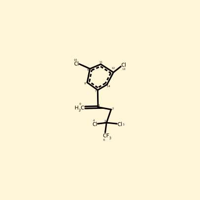 C=C(CC(Cl)(Cl)C(F)(F)F)c1cc(Cl)cc(Cl)c1